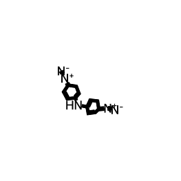 [N-]=[N+]=C1C=CC(NC2=CCC(=[N+]=[N-])C=C2)=CC1